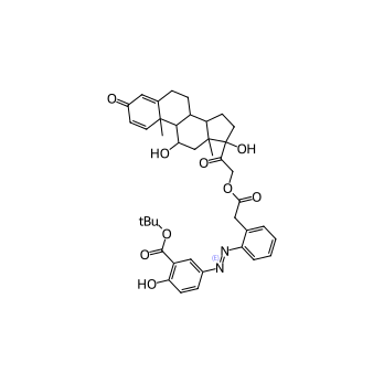 CC(C)(C)OC(=O)c1cc(/N=N/c2ccccc2CC(=O)OCC(=O)C2(O)CCC3C4CCC5=CC(=O)C=CC5(C)C4C(O)CC32C)ccc1O